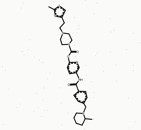 Cc1nc(CCN2CCN(C(=O)Oc3ccc(NC(=O)c4ccc(CN5CCCCC5C)cc4)cn3)CC2)cs1